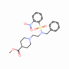 COC(=O)C1CCN(CCN(Cc2ccccc2)S(=O)(=O)c2ccccc2[N+](=O)[O-])CC1